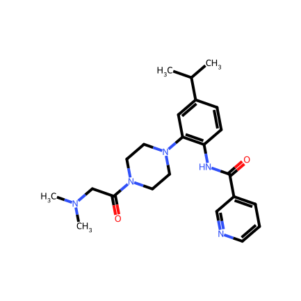 CC(C)c1ccc(NC(=O)c2cccnc2)c(N2CCN(C(=O)CN(C)C)CC2)c1